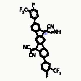 N#CC(C#N)=C1c2cc(-c3ccc(F)c(C(F)(F)F)c3)ccc2-c2cc3c(cc21)-c1ccc(-c2ccc(F)c(C(F)(F)F)c2)cc1/C3=C(\C#N)C=N